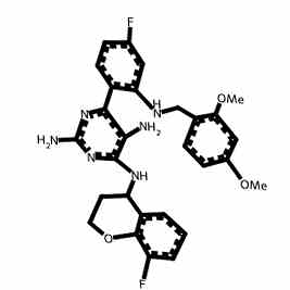 COc1ccc(CNc2cc(F)ccc2-c2nc(N)nc(NC3CCOc4c(F)cccc43)c2N)c(OC)c1